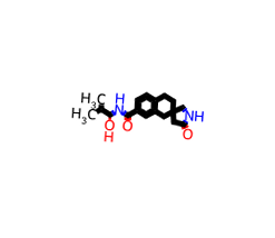 CC(C)[C@H](O)NC(=O)c1ccc2c(c1)CC1(CC2)CNC(=O)C1